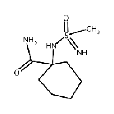 CS(=N)(=O)NC1(C(N)=O)CCCCC1